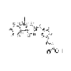 O=C(O)/C=C/c1ccc(CN2CCc3c([nH]c4ccccc34)C2)s1